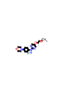 COCCOc1cnc(Nc2ccc(N3CCOCC3)cc2F)nc1